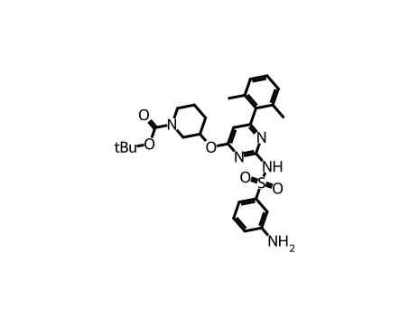 Cc1cccc(C)c1-c1cc(OC2CCCN(C(=O)OC(C)(C)C)C2)nc(NS(=O)(=O)c2cccc(N)c2)n1